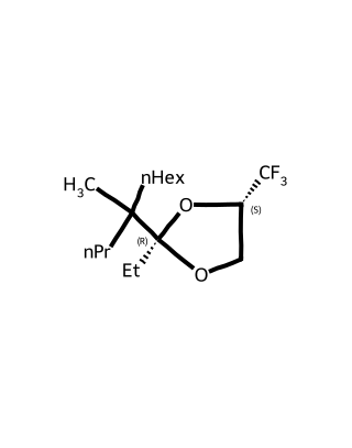 CCCCCCC(C)(CCC)[C@]1(CC)OC[C@@H](C(F)(F)F)O1